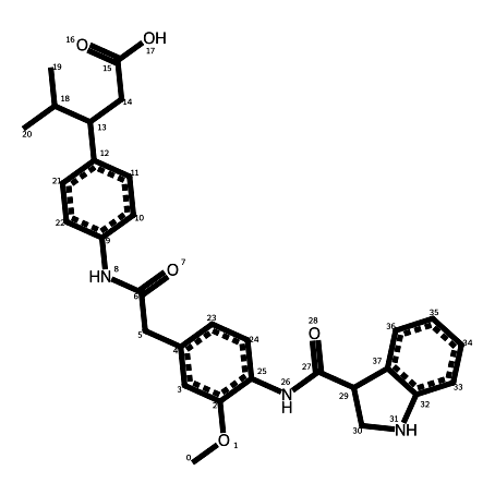 COc1cc(CC(=O)Nc2ccc(C(CC(=O)O)C(C)C)cc2)ccc1NC(=O)C1CNc2ccccc21